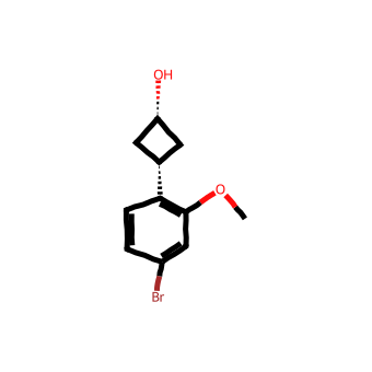 COc1cc(Br)ccc1[C@H]1C[C@@H](O)C1